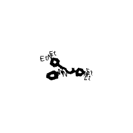 CCN(CC)c1ccc(C(C)=CC2=NN(c3ccccc3)C(c3ccc(N(CC)CC)cc3)C2)cc1